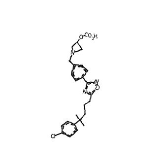 CC(C)(CCCc1nc(-c2ccc(CN3CC(OC(=O)O)C3)cc2)no1)c1ccc(Cl)cc1